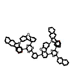 c1ccc(-c2nc(-c3cccc(-c4ccc(-c5nc(-c6ccccc6)nc(-c6ccc7ccccc7c6)n5)c5c4oc4ccc(-n6c7ccccc7c7cc8ccccc8cc76)cc45)c3)nc(-c3cccc4oc5ccc(-n6c7ccccc7c7cc8ccccc8cc76)cc5c34)n2)cc1